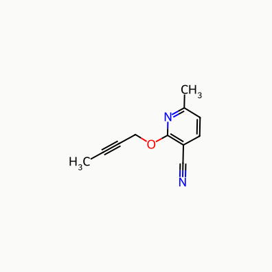 CC#CCOc1nc(C)ccc1C#N